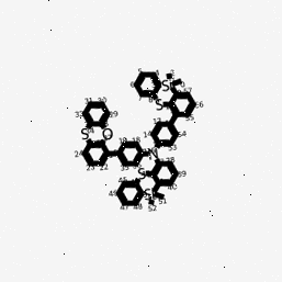 C[Si]1(C)c2ccccc2Sc2c(-c3ccc(N(c4ccc(-c5cccc6c5Oc5ccccc5S6)cc4)c4cccc5c4Sc4ccccc4[Si]5(C)C)cc3)cccc21